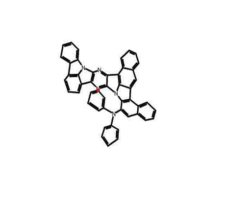 c1ccc(N(c2ccccc2)c2cc3ccccc3c3c4cc5ccccc5c5c6nc7c(nc6n(c23)c45)c2cccc3c4ccccc4n7c32)cc1